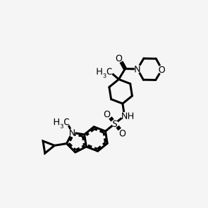 Cn1c(C2CC2)cc2ccc(S(=O)(=O)NC3CCC(C)(C(=O)N4CCOCC4)CC3)cc21